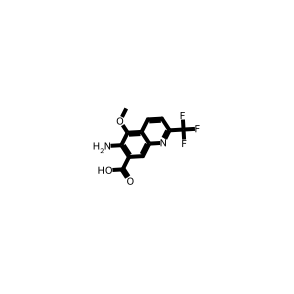 COc1c(N)c(C(=O)O)cc2nc(C(F)(F)F)ccc12